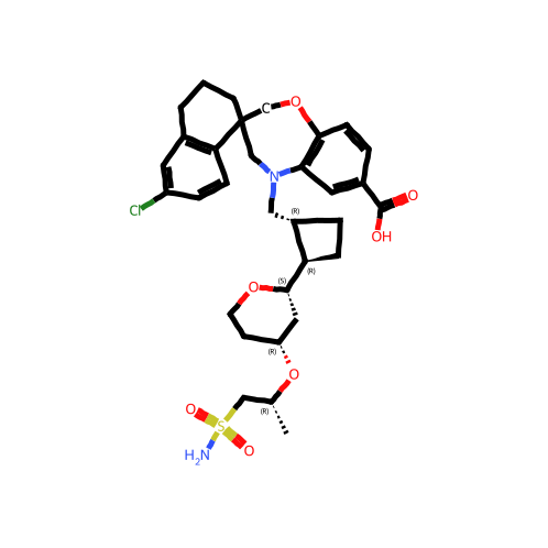 C[C@H](CS(N)(=O)=O)O[C@@H]1CCO[C@H]([C@@H]2CC[C@H]2CN2CC3(CCCc4cc(Cl)ccc43)COc3ccc(C(=O)O)cc32)C1